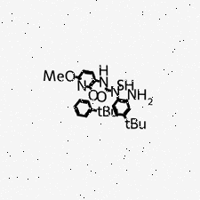 COc1ccc(NC(=O)N(S)c2ccc(C(C)(C)C)cc2N)c(Oc2ccccc2C(C)(C)C)n1